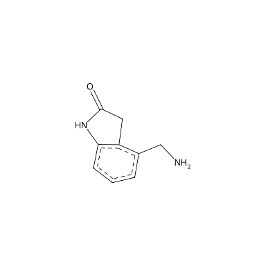 NCc1cccc2c1CC(=O)N2